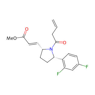 C=CCC(=O)N1[C@@H](/C=C/C(=O)OC)CC[C@H]1c1ccc(F)cc1F